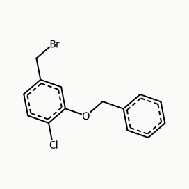 Clc1ccc(CBr)cc1OCc1ccccc1